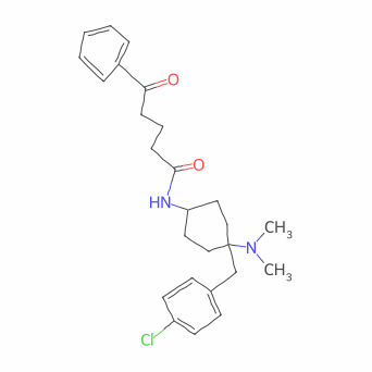 CN(C)C1(Cc2ccc(Cl)cc2)CCC(NC(=O)CCCC(=O)c2ccccc2)CC1